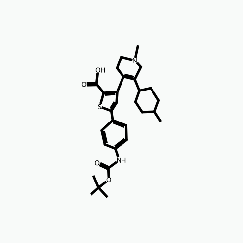 CC1CCC(C2=C(c3cc(-c4ccc(NC(=O)OC(C)(C)C)cc4)sc3C(=O)O)CCN(C)C2)CC1